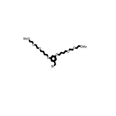 COCCOCCOCCCCOc1cc(CBr)cc(OCCCCOCCOCCOC)c1